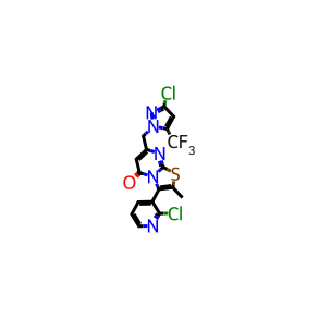 Cc1sc2nc(Cn3nc(Cl)cc3C(F)(F)F)cc(=O)n2c1-c1cccnc1Cl